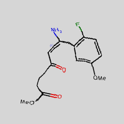 COC(=O)CC(=O)/C=C(/N)c1cc(OC)ccc1F